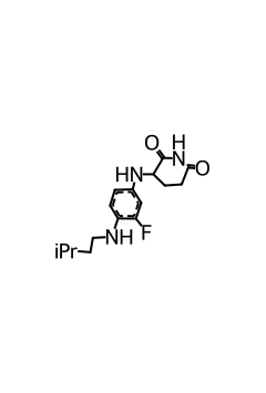 CC(C)CCNc1ccc(NC2CCC(=O)NC2=O)cc1F